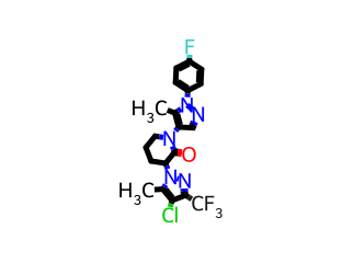 Cc1c(N2CCCC(n3nc(C(F)(F)F)c(Cl)c3C)C2=O)cnn1-c1ccc(F)cc1